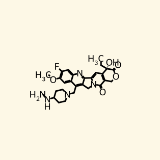 CC[C@@]1(O)C(=O)OCc2c1cc1n(c2=O)Cc2c-1nc1cc(F)c(OC)cc1c2CN1CCC(NN)CC1